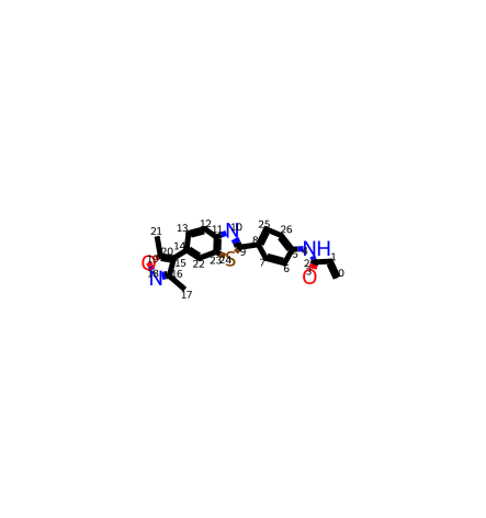 C=CC(=O)Nc1ccc(-c2nc3ccc(-c4c(C)noc4C)cc3s2)cc1